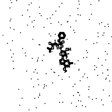 COC1=NC(C)=NC2C1=NCN2[C@@H]1O[C@H](CO[P@@](=O)(N[C@@H](C)C(=O)OC(C)C)Oc2ccccc2)[C@@H](O)[C@@]1(C)F